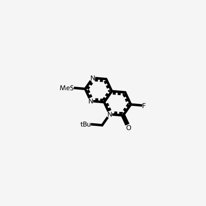 CSc1ncc2cc(F)c(=O)n(CC(C)(C)C)c2n1